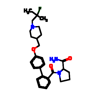 CC(C)(F)CN1CCC(COc2ccc(-c3ccccc3C(=O)N3CCCC3C(N)=O)cc2)CC1